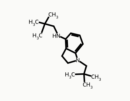 CC(C)(C)CNc1cccc2c1CCN2CC(C)(C)C